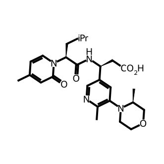 Cc1ccn([C@@H](CC(C)C)C(=O)N[C@@H](CC(=O)O)c2cnc(C)c(N3CCOC[C@@H]3C)c2)c(=O)c1